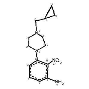 Nc1cccc(N2CCN(CC3CC3)CC2)c1[N+](=O)[O-]